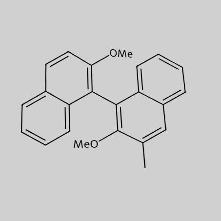 COc1ccc2ccccc2c1-c1c(OC)c(C)cc2ccccc12